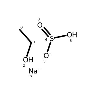 CCO.O=S([O-])O.[Na+]